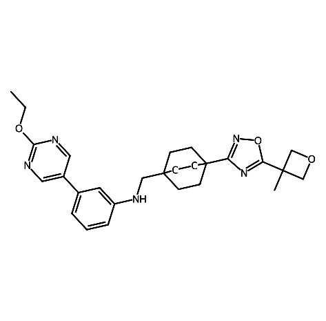 CCOc1ncc(-c2cccc(NCC34CCC(c5noc(C6(C)COC6)n5)(CC3)CC4)c2)cn1